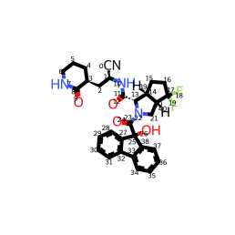 N#C[C@H](C[C@@H]1CCCNC1=O)NC(=O)[C@@H]1[C@@H]2CCC(F)(F)[C@@H]2CN1C(=O)C1(O)c2ccccc2-c2ccccc21